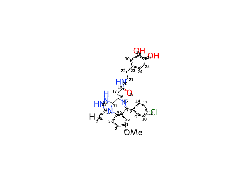 COc1ccc2c(c1)C(c1ccc(Cl)cc1)=N[C@@H](CC(=O)NCCc1ccc(O)c(O)c1)C1NNC(C)N21